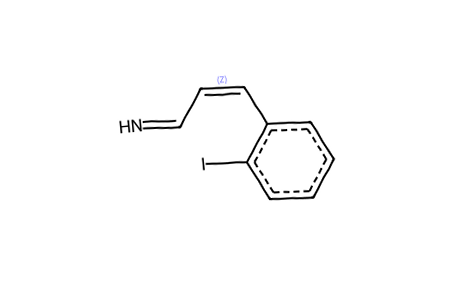 N=C/C=C\c1ccccc1I